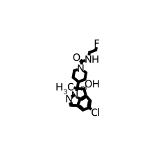 CC1(C2CCN(C(=O)NCCF)CC2)[C@H](O)c2cc(Cl)cc3cnn1c23